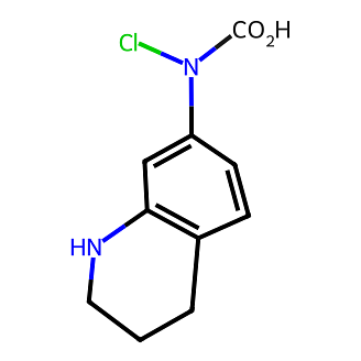 O=C(O)N(Cl)c1ccc2c(c1)NCCC2